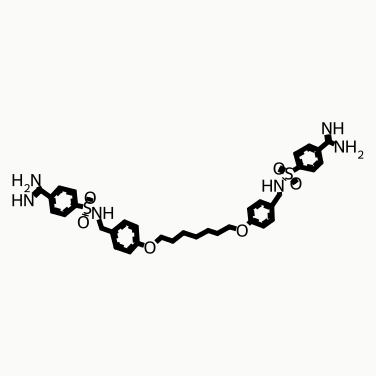 N=C(N)c1ccc(S(=O)(=O)NCc2ccc(OCCCCCCCOc3ccc(CNS(=O)(=O)c4ccc(C(=N)N)cc4)cc3)cc2)cc1